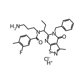 CCC(c1nc2snc(C)c2c(=O)n1Cc1ccccc1)N(CCCN)C(=O)c1ccc(C)c(F)c1.[Cl-].[H+]